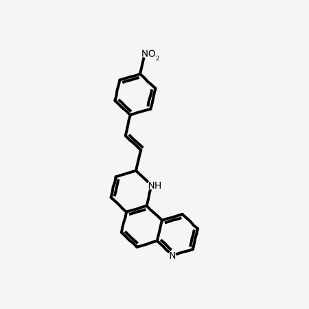 O=[N+]([O-])c1ccc(/C=C/C2C=Cc3ccc4ncccc4c3N2)cc1